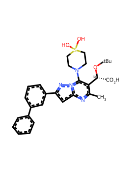 Cc1nc2cc(-c3cccc(-c4ccccc4)c3)nn2c(N2CCS(O)(O)CC2)c1[C@H](OC(C)(C)C)C(=O)O